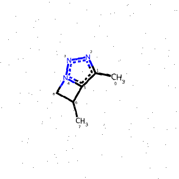 Cc1nnn2c1C(C)C2